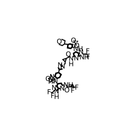 CN(c1cc(-c2cnn(CC3CC3C(=O)Nc3cc(Nc4ccc(C5CCOCC5)cc4S(C)(=O)=O)c4nc(C(F)F)[nH]c4n3)c2)ccc1Nc1cc(NC(=O)[C@H]2CC2(F)F)nc2[nH]c(C(F)F)nc12)S(C)(=O)=O